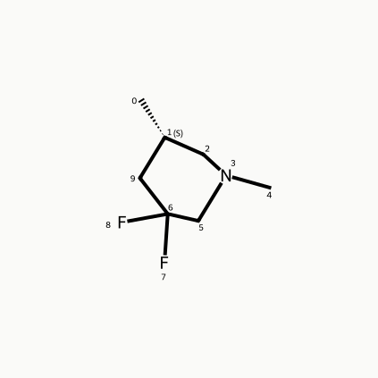 C[C@@H]1CN(C)CC(F)(F)C1